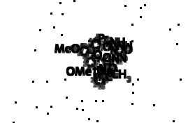 COc1ccc(C(OC[C@H]2O[C@@H](n3cnc4c(=O)[nH]c(NC(=O)C(C)C)nc43)[C@H](O[Si](C)(C)C(C)(C)C)[C@@H]2N=Cc2ccccc2)(c2ccccc2)c2ccc(OC)cc2)cc1